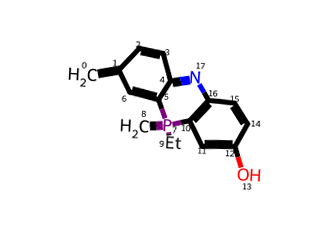 C=c1ccc2c(c1)P(=C)(CC)c1cc(O)ccc1N=2